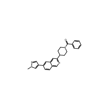 Cn1cc(-c2ccc3cnc(C4CCN(C(=O)c5ccccc5)CC4)cc3c2)cn1